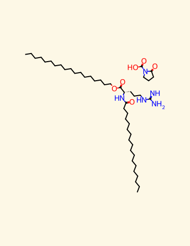 CCCCCCCCCCCCCCCCCCOC(=O)[C@H](CCCNC(=N)N)NC(=O)CCCCCCCCCCCCCCCCC.O=C(O)N1CCCC1=O